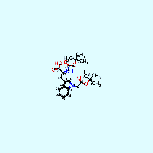 CC(C)(C)OC(=O)Cn1cc(CC(NC(=O)OC(C)(C)C)C(=O)O)c2ccccc21